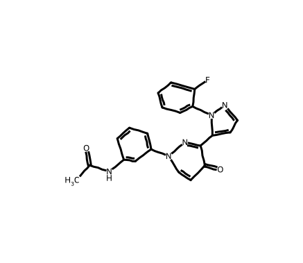 CC(=O)Nc1cccc(-n2ccc(=O)c(-c3ccnn3-c3ccccc3F)n2)c1